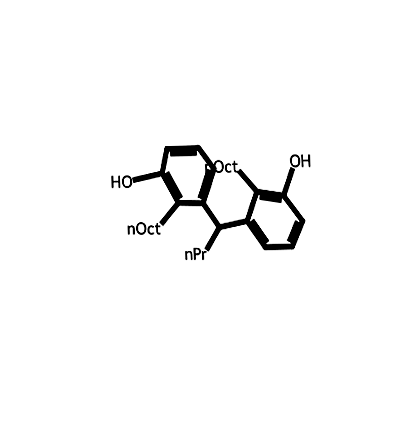 CCCCCCCCc1c(O)cccc1C(CCC)c1cccc(O)c1CCCCCCCC